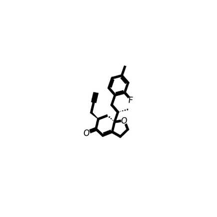 C#CC[C@H]1C[C@]2([C@@H](C)Cc3ccc(C)cc3F)OCCC2=CC1=O